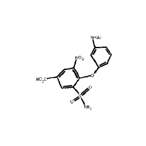 CC(=O)Nc1cccc(Oc2c([N+](=O)[O-])cc(C(=O)O)cc2S(N)(=O)=O)c1